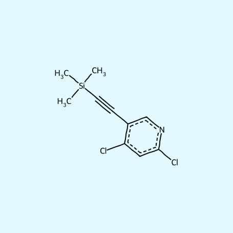 C[Si](C)(C)C#Cc1cnc(Cl)cc1Cl